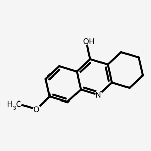 COc1ccc2c(O)c3c(nc2c1)CCCC3